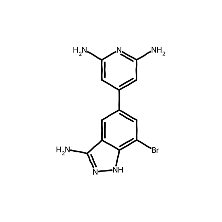 Nc1cc(-c2cc(Br)c3[nH]nc(N)c3c2)cc(N)n1